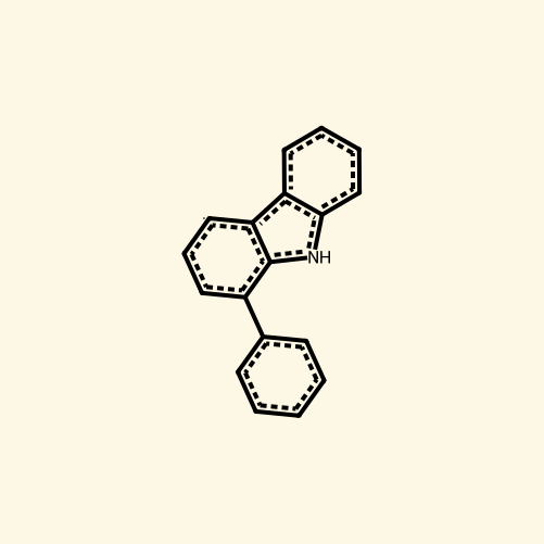 [c]1ccc(-c2ccccc2)c2[nH]c3ccccc3c12